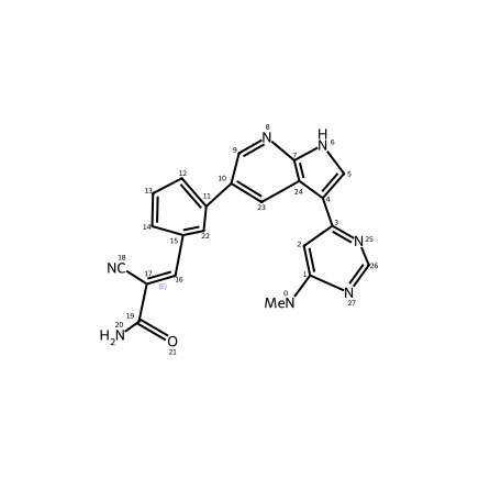 CNc1cc(-c2c[nH]c3ncc(-c4cccc(/C=C(\C#N)C(N)=O)c4)cc23)ncn1